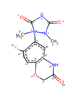 CN1C(=O)NC(=O)[N+]1(C)c1cc2c(cc1F)OCC(=O)N2